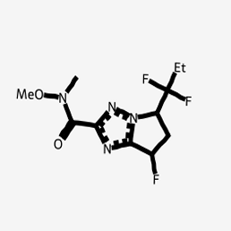 CCC(F)(F)C1CC(F)c2nc(C(=O)N(C)OC)nn21